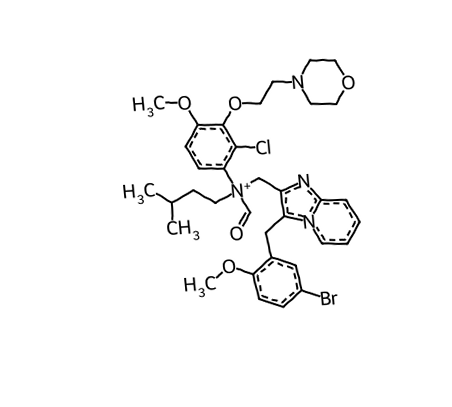 COc1ccc(Br)cc1Cc1c(C[N+](C=O)(CCC(C)C)c2ccc(OC)c(OCCN3CCOCC3)c2Cl)nc2ccccn12